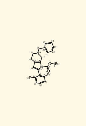 CC(C)(C)OC(=O)n1c(-c2c(F)cccc2F)cc2c1CN(Cc1ccccc1)CC2